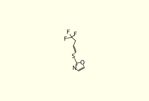 FC(F)(F)CC=CSc1ncco1